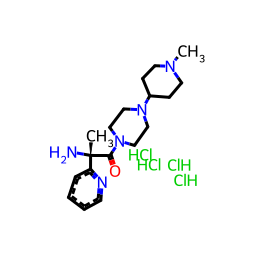 CN1CCC(N2CCN(C(=O)[C@@](C)(N)c3ccccn3)CC2)CC1.Cl.Cl.Cl.Cl